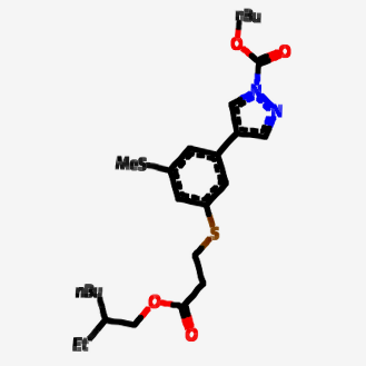 CCCCOC(=O)n1cc(-c2cc(SC)cc(SCCC(=O)OCC(CC)CCCC)c2)cn1